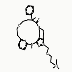 CC1(c2ccccc2)CCCCCc2cccc(n2)Nc2nn(COCC[Si](C)(C)C)c3c2CN(C3)C1=O